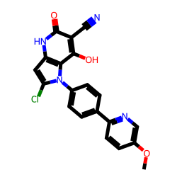 COc1ccc(-c2ccc(-n3c(Cl)cc4[nH]c(=O)c(C#N)c(O)c43)cc2)nc1